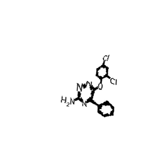 Nc1nnc(Oc2ccc(Cl)cc2Cl)c(-c2ccccc2)n1